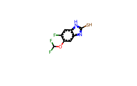 Fc1cc2[nH]c(S)nc2cc1OC(F)F